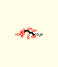 O=C(O)[C@@H](O)[C@@H](O)[C@H](O)[C@@H](O)C(=O)OP(=O)(O)O